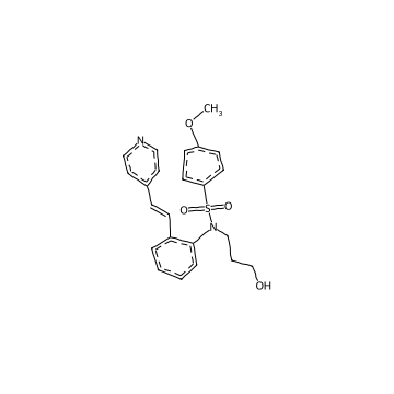 COc1ccc(S(=O)(=O)N(CCCO)c2ccccc2/C=C/c2ccncc2)cc1